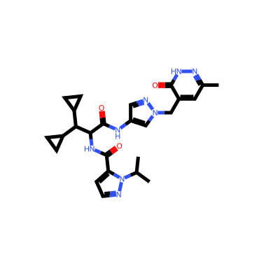 Cc1cc(Cn2cc(NC(=O)C(NC(=O)c3ccnn3C(C)C)C(C3CC3)C3CC3)cn2)c(=O)[nH]n1